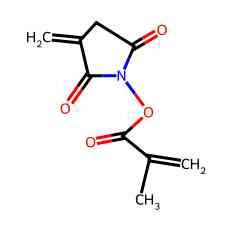 C=C(C)C(=O)ON1C(=O)CC(=C)C1=O